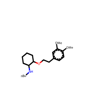 CCCCNC1CCCCC1OCCc1ccc(OC)c(OC)c1